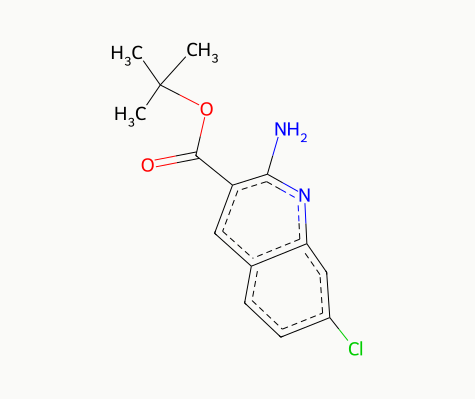 CC(C)(C)OC(=O)c1cc2ccc(Cl)cc2nc1N